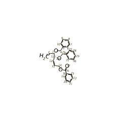 C=C[C@H](OCc1ccccc1)[C@@H](/C=C\COC(=O)c1ccccc1)OCc1ccccc1